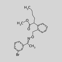 CCCCC(C(=O)OC)c1ccccc1CO/N=C(\C)c1cccc(Br)c1